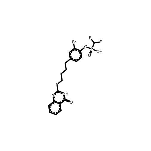 O=c1[nH]c(SCCCCc2ccc(OP(=O)(O)C(F)F)c(Br)c2)nc2ccccc12